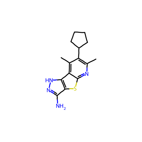 Cc1nc2sc3c(N)n[nH]c3c2c(C)c1C1CCCC1